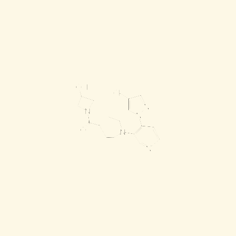 O=C(C1CCN(c2cnccc2-n2cc(Cl)cn2)CC1)N1CC(O)C1